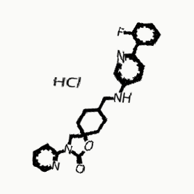 Cl.O=C1OC2(CCC(CNc3ccc(-c4ccccc4F)nc3)CC2)CN1c1ccccn1